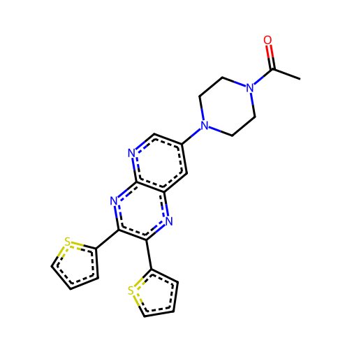 CC(=O)N1CCN(c2cnc3nc(-c4cccs4)c(-c4cccs4)nc3c2)CC1